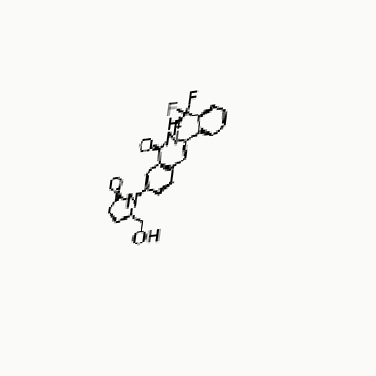 O=C1CC[C@H](CO)N1c1ccc2cc(-c3ccccc3C(F)(F)F)[nH]c(=O)c2c1